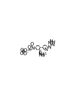 CN(c1ccc(-c2ccc(N3C[C@H](COP(=O)([O-])[O-])OC3=O)cc2F)cn1)c1nnn(C)n1.[Na+].[Na+]